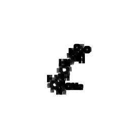 COc1cnc2ccc(F)c(CNC3CCC(NCc4cnc5c(n4)NC(=O)CO5)CC3)c2n1